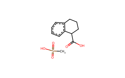 CS(=O)(=O)O.O=C(O)C1CCCc2ccccc21